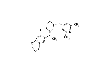 Cc1cc(C[C@H]2CCCN(C(C)c3cc4c(cc3F)OCCO4)C2)cc(C(F)(F)F)n1